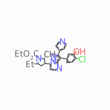 CCOC(=O)N1C(CC)CC(c2ccnc3c(-c4ccc(Cl)c(O)c4)c(-c4ccncc4)nn23)C1C